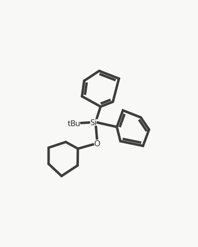 CC(C)(C)[Si](OC1CCCCC1)(c1ccccc1)c1ccccc1